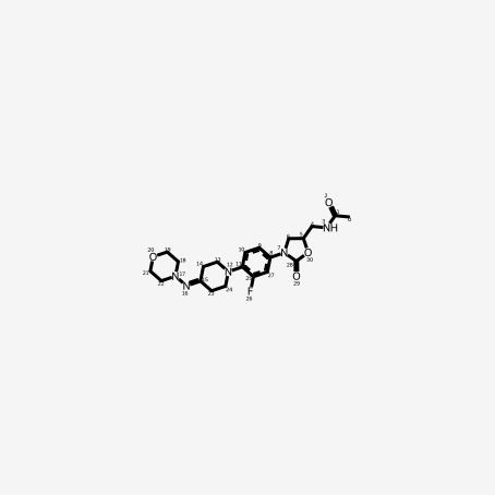 CC(=O)NCC1CN(c2ccc(N3CCC(=NN4CCOCC4)CC3)c(F)c2)C(=O)O1